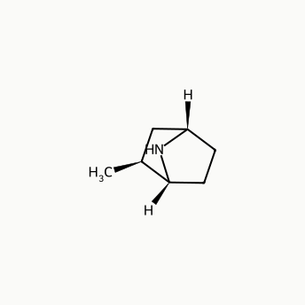 C[C@H]1C[C@@H]2CC[C@H]1N2